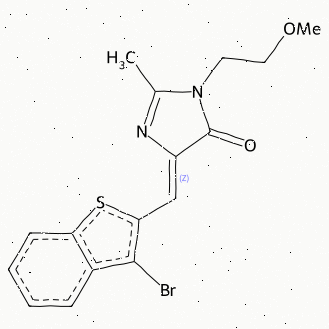 COCCN1C(=O)/C(=C/c2sc3ccccc3c2Br)N=C1C